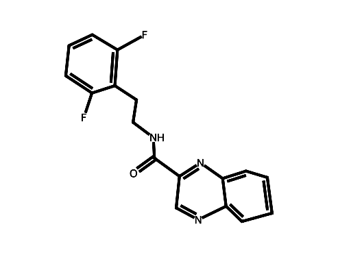 O=C(NCCc1c(F)cccc1F)c1cnc2ccccc2n1